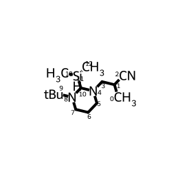 CC(C#N)CN1CCCN(C(C)(C)C)C1[SiH](C)C